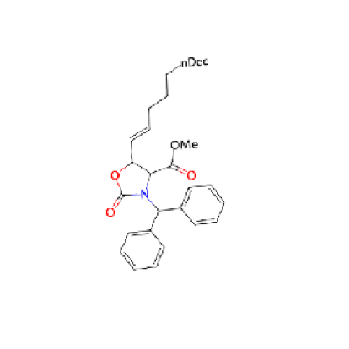 CCCCCCCCCCCCCC=CC1OC(=O)N(C(c2ccccc2)c2ccccc2)C1C(=O)OC